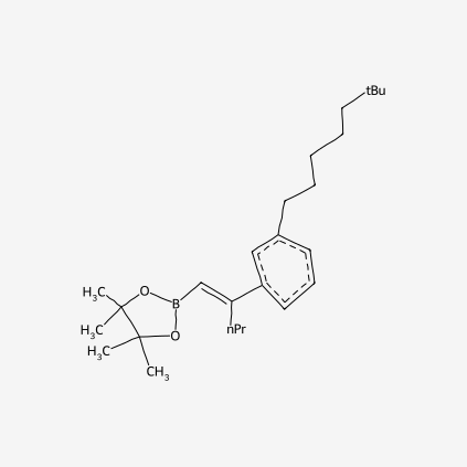 CCC/C(=C\B1OC(C)(C)C(C)(C)O1)c1cccc(CCCCCC(C)(C)C)c1